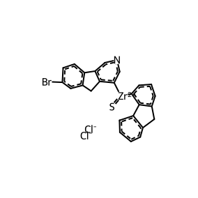 [Cl-].[Cl-].[S]=[Zr+2]([c]1cncc2c1Cc1cc(Br)ccc1-2)[c]1cccc2c1-c1ccccc1C2